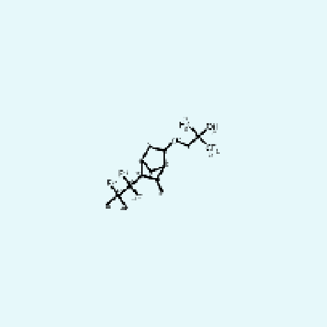 CC1C2CC(CC2OCC(O)(C(F)(F)F)C(F)(F)F)C1C(F)(F)C(C)(F)F